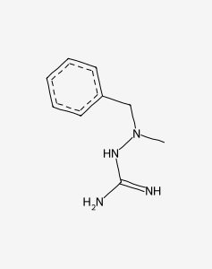 CN(Cc1ccccc1)NC(=N)N